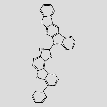 c1ccc(-c2cccc3c2oc2ccc4c(c23)SC(n2c3ccccc3c3cc5c(cc32)sc2ccccc25)N4)cc1